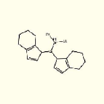 CC[SiH](CC)[Zr]([CH]1C=CC2=C1CCCC2)[CH]1C=CC2=C1CCCC2